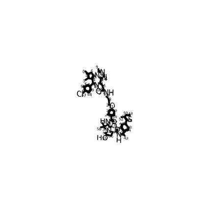 CC1=C(C)C2=C(C1)n1c(C)nnc1C(CC(=O)NCCCOc1ccc(C(=O)N[C@H](C(=O)N3C[C@H](O)C[C@H]3C(=O)NC(C)c3ccc(-c4sccc4C)cc3)C(C)(C)C)cc1)N=C2c1ccc(Cl)cc1